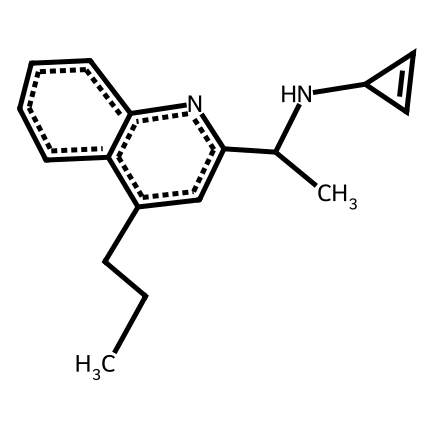 CCCc1cc(C(C)NC2C=C2)nc2ccccc12